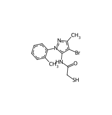 Cc1ccccc1-n1nc(C)c(Br)c1NC(=O)CS